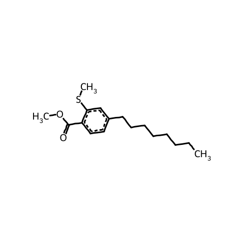 CCCCCCCCc1ccc(C(=O)OC)c(SC)c1